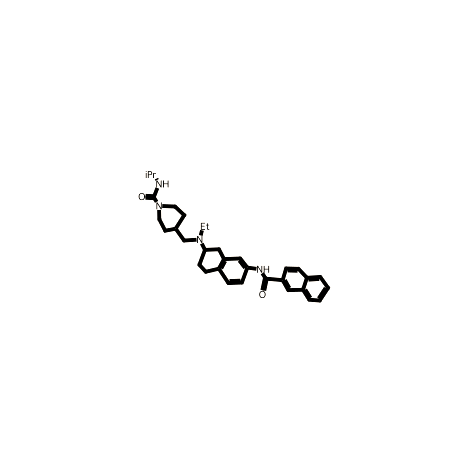 CCN(CC1CCN(C(=O)NC(C)C)CC1)C1CCc2ccc(NC(=O)c3ccc4ccccc4c3)cc2C1